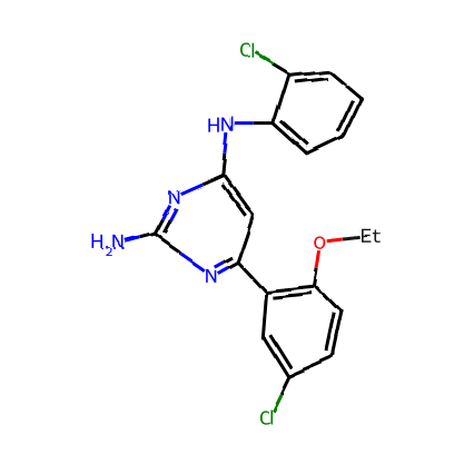 CCOc1ccc(Cl)cc1-c1cc(Nc2ccccc2Cl)nc(N)n1